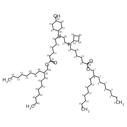 CCCCCCCCC(CCCCCCCC)COC(=O)CCCCCN(CCN(CCCCCC(=O)OCC(CCCCCCCC)CCCCCCCC)C1CCC(O)CC1)C1CCC1